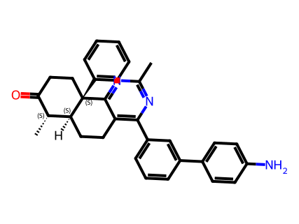 Cc1nc(-c2cccc(-c3ccc(N)cc3)c2)c2c(n1)[C@@]1(c3ccccc3)CCC(=O)[C@@H](C)[C@@H]1CC2